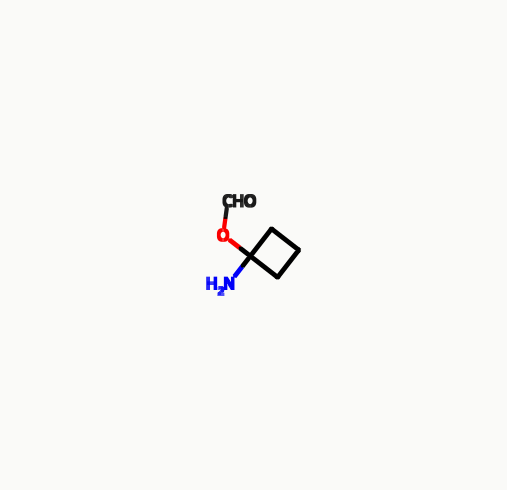 NC1(OC=O)CCC1